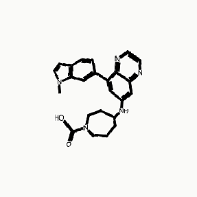 Cn1ccc2ccc(-c3cc(NC4CCCN(C(=O)O)CC4)cc4nccnc34)cc21